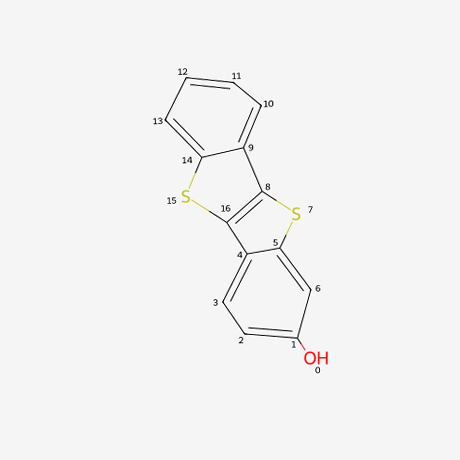 Oc1ccc2c(c1)sc1c3ccccc3sc21